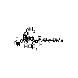 COCCOCCOCCNC(=O)c1ccc(C)c(-c2cccc(C[C@H](NC(=O)[C@H]3CC[C@H](CN)CC3)C(=O)Nc3ccc(-c4nnn[nH]4)cc3)c2)c1.Cl